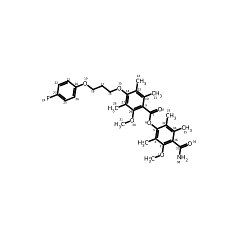 COc1c(C)c(OC(=O)c2c(C)c(C)c(OCCCOc3ccc(F)cc3)c(C)c2OC)c(C)c(C)c1C(N)=O